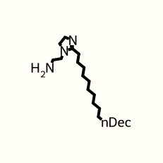 CCCCCCCCCCCCCCCCCCCCC1=NCCN1CCN